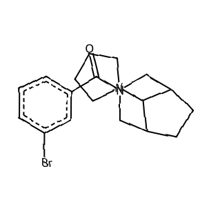 O=C(c1cccc(Br)c1)N1CC2CCC(C1)C2N1CCCC1